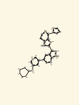 c1csc(-c2nccc3[nH]c(-c4n[nH]c5ncc(-c6cncc(OC7CCCCC7)c6)cc45)nc23)c1